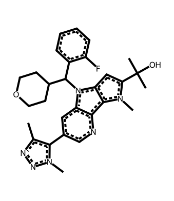 Cc1nnn(C)c1-c1cnc2c3c(cc(C(C)(C)O)n3C)n(C(c3ccccc3F)C3CCOCC3)c2c1